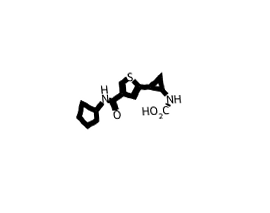 O=C(O)NC1CC1c1cc(C(=O)NC2CCCC2)cs1